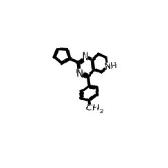 Cc1ccc(-c2nc(C3CCCC3)nc3c2CNCC3)cc1